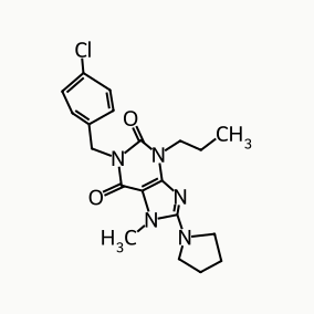 CCCn1c(=O)n(Cc2ccc(Cl)cc2)c(=O)c2c1nc(N1CCCC1)n2C